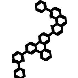 c1ccc(-c2ccc3ccc4ccc(-c5ccc6c7ccc(-c8ccnc(-c9ccccc9)n8)cc7c7ccccc7c6c5)nc4c3n2)cc1